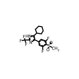 CS(=O)(=O)c1c(F)cc(-c2nc(C(F)(F)F)[nH]c2C2CCCCC2)cc1F